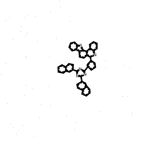 c1cc(-c2nc(-c3ccc4ccccc4c3)nc(-c3ccc4ccccc4c3)n2)cc(-c2nc3ccccc3c3c2ccc2c4ccccc4sc23)c1